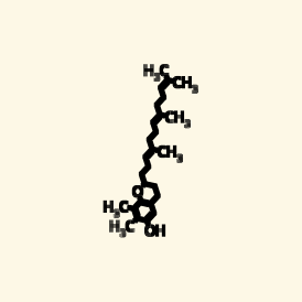 CC(C)=CCC/C(C)=C/CC/C(C)=C/CCC1CCc2cc(O)c(C)c(C)c2O1